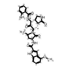 COc1cccc2[nH]c(C(=O)N[C@H]3CC(C)N([C@@H](C[C@@H]4CCNC4=O)C(=O)CNC(=O)c4ccccc4N)C3=O)cc12